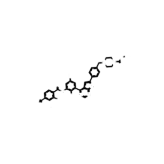 Cc1c(NC(=O)c2ccc(C(C)(C)O)cc2F)cc(F)cc1-c1ncnc2[nH]c(-c3ccc(CN4CCN(C(=O)OC(C)(C)C)CC4)cc3)cc12